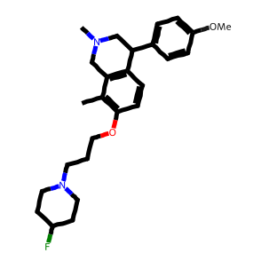 COc1ccc(C2CN(C)Cc3c2ccc(OCCCN2CCC(F)CC2)c3C)cc1